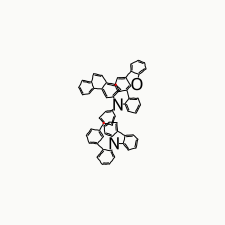 c1cc(-c2ccc(N(c3ccc4ccc5ccccc5c4c3)c3ccccc3-c3cccc4c3oc3ccccc34)cc2)cc(-c2ccccc2-n2c3ccccc3c3ccccc32)c1